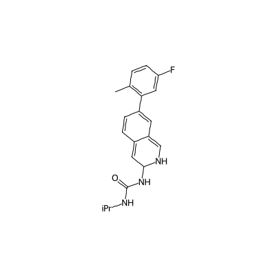 Cc1ccc(F)cc1-c1ccc2c(c1)=CNC(NC(=O)NC(C)C)C=2